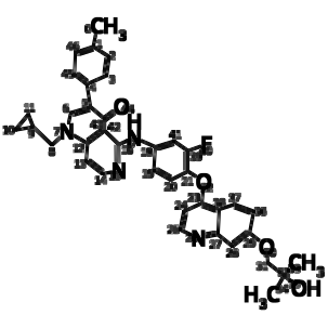 Cc1ccc(-c2cn(CC3CC3)c3ccnc(Nc4ccc(Oc5ccnc6cc(OCC(C)(C)O)ccc56)c(F)c4)c3c2=O)cc1